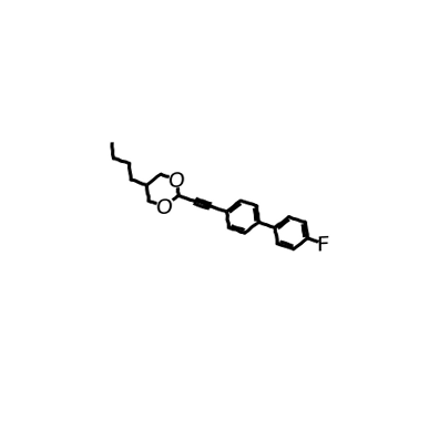 CCCCC1COC(C#Cc2ccc(-c3ccc(F)cc3)cc2)OC1